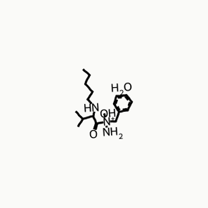 CCCCCNC(C(=O)[N+](N)(O)Cc1ccccc1)C(C)C.O